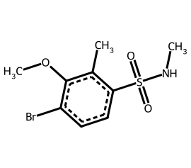 CNS(=O)(=O)c1ccc(Br)c(OC)c1C